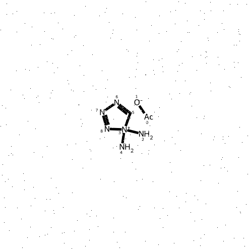 CC(=O)[O-].N[N+]1(N)C=NN=N1